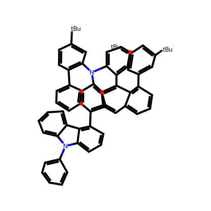 CC(C)(C)c1cc(-c2cccc3cccc(-c4ccccc4N(c4ccc(-c5cccc6c5c5ccccc5n6-c5ccccc5)cc4)c4cc(C(C)(C)C)ccc4-c4ccccc4)c23)cc(C(C)(C)C)c1